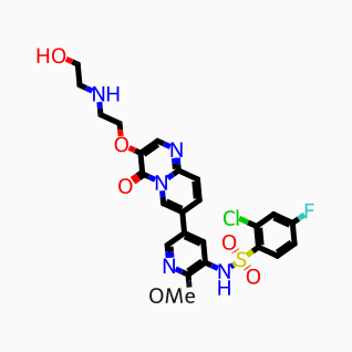 COc1ncc(-c2ccc3ncc(OCCNCCO)c(=O)n3c2)cc1NS(=O)(=O)c1ccc(F)cc1Cl